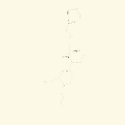 COc1cc(-n2ccnc(SCCc3ccccc3)c2=O)ccc1OCC(C)(C)C